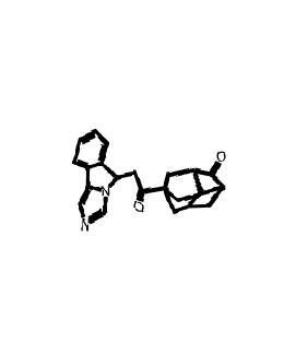 O=C1C2CC3CC1CC(C(=O)CC1c4ccccc4-c4cncn41)(C3)C2